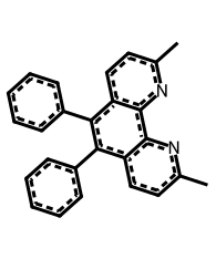 Cc1ccc2c(-c3ccccc3)c(-c3ccccc3)c3ccc(C)nc3c2n1